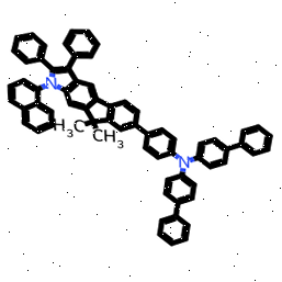 CC1(C)c2cc(-c3ccc(N(c4ccc(-c5ccccc5)cc4)c4ccc(-c5ccccc5)cc4)cc3)ccc2-c2cc3c(-c4ccccc4)c(-c4ccccc4)n(-c4cccc5ccccc45)c3cc21